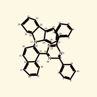 c1ccc(-c2nc(-c3ccccc3)nc(-c3c(-n4c5ccccc5c5ccccc54)ccc4ccccc34)n2)cc1